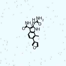 Cc1c(-c2ccoc2)ccc2c(C(N)=O)c(NC(N)=O)[nH]c12